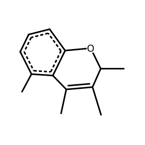 CC1=C(C)C(C)Oc2cccc(C)c21